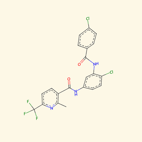 Cc1nc(C(F)(F)F)ccc1C(=O)Nc1ccc(Cl)c(NC(=O)c2ccc(Cl)cc2)c1